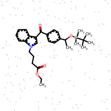 CCOC(=O)CCCn1cc(C(=O)c2ccc(C(C)O[Si](C)(C)C(C)(C)C)cc2)c2ccccc21